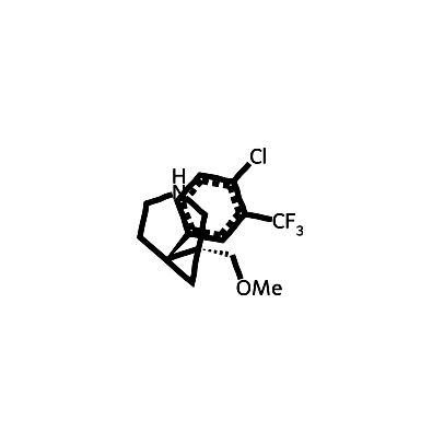 COC[C@@]12CNCC[C@@]1(c1ccc(Cl)c(C(F)(F)F)c1)C2